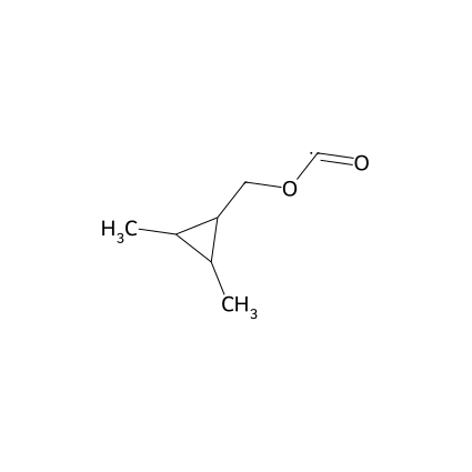 CC1C(C)C1CO[C]=O